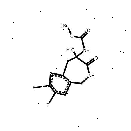 CC(C)(C)OC(=O)NC1(C)Cc2cc(F)c(F)cc2CNC1=O